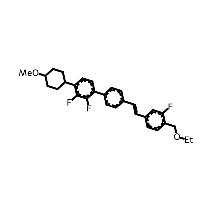 CCOCc1ccc(/C=C/c2ccc(-c3ccc(C4CCC(OC)CC4)c(F)c3F)cc2)cc1F